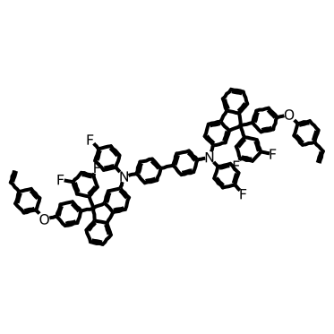 C=Cc1ccc(Oc2ccc(C3(c4cc(F)cc(F)c4)c4ccccc4-c4ccc(N(c5ccc(F)cc5)c5ccc(-c6ccc(N(c7ccc(F)cc7)c7ccc8c(c7)C(c7ccc(Oc9ccc(C=C)cc9)cc7)(c7cc(F)cc(F)c7)c7ccccc7-8)cc6)cc5)cc43)cc2)cc1